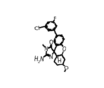 COC1CC[C@@H]2C(C1)Oc1ccc(-c3cc(F)cc(Cl)c3)cc1C21N=C(N)N(C)C1=O